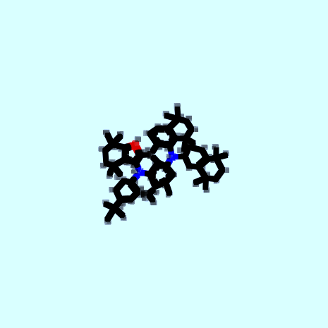 Cc1cc2c3c(c1)N(C1CCC4=C(C1)C(C)(C)CCC4(C)C)c1c(ccc4c1C(C)(C)CCC4(C)C)B3c1oc3c(c1N2C1=C([SiH](C)C)C=C(C(C)(C)C)CC1)C(C)(C)CCC3(C)C